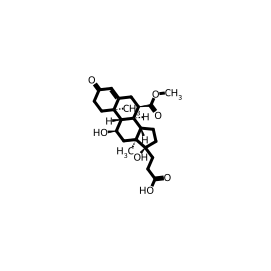 COC(=O)[C@@H]1CC2=CC(=O)CC[C@]2(C)[C@@H]2[C@@H]1[C@@H]1CC[C@](O)(CCC(=O)O)[C@@]1(C)C[C@H]2O